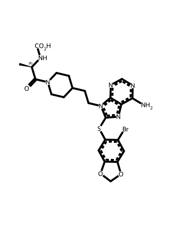 C[C@@H](NC(=O)O)C(=O)N1CCC(CCn2c(Sc3cc4c(cc3Br)OCO4)nc3c(N)ncnc32)CC1